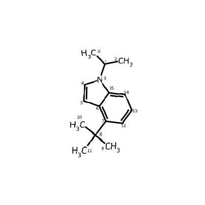 CC(C)n1ccc2c(C(C)(C)C)cccc21